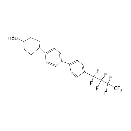 CCCCC1CCC(c2ccc(-c3ccc(C(F)(F)C(F)(F)C(F)(F)C(F)(F)F)cc3)cc2)CC1